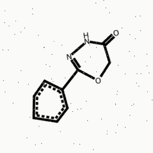 O=C1COC(c2ccccc2)=NN1